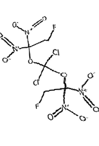 O=[N+]([O-])C(CF)(OC(Cl)(Cl)OC(CF)([N+](=O)[O-])[N+](=O)[O-])[N+](=O)[O-]